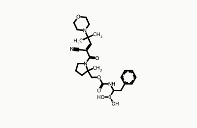 CC(C)(C=C(C#N)C(=O)N1CCCC1(C)COC(=O)N[C@@H](Cc1ccccc1)B(O)O)N1CCOCC1